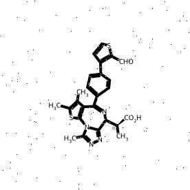 Cc1sc2c(c1C)C(c1ccc(-c3ccsc3C=O)cc1)=NC([C@H](C)C(=O)O)c1nnc(C)n1-2